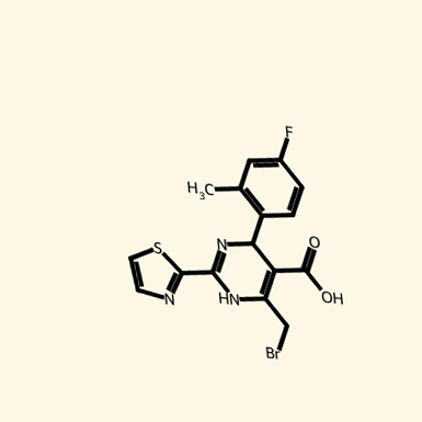 Cc1cc(F)ccc1C1N=C(c2nccs2)NC(CBr)=C1C(=O)O